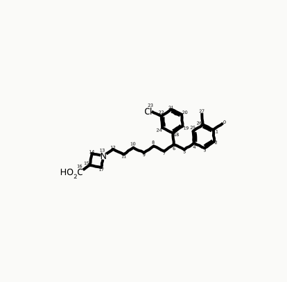 Cc1ccc(CC(CCCCCCN2CC(C(=O)O)C2)c2cccc(Cl)c2)cc1C